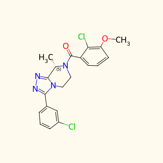 COc1cccc(C(=O)N2CCn3c(-c4cccc(Cl)c4)nnc3[C@@H]2C)c1Cl